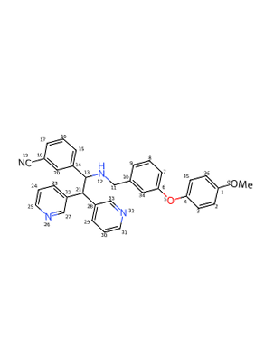 COc1ccc(Oc2cccc(CNC(c3cccc(C#N)c3)C(c3cccnc3)c3cccnc3)c2)cc1